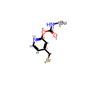 CC(C)(C)NC(=O)Oc1cc(CBr)ccn1